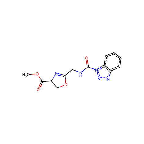 COC(=O)C1COC(CNC(=O)n2nnc3ccccc32)=N1